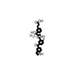 CC(O)(c1cccc(CCC(=O)O)c1)c1c[nH]c(-c2cc(C(=O)c3ccc4[nH]ccc4c3)ccc2F)n1